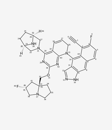 C#Cc1c(F)ccc2cc3[nH]ncc3c(N3CC=Cc4c(N5C[C@H]6CC[C@@H](C5)N6)nc(OC[C@@]56CCCN5C[C@H](F)C6)nc43)c12